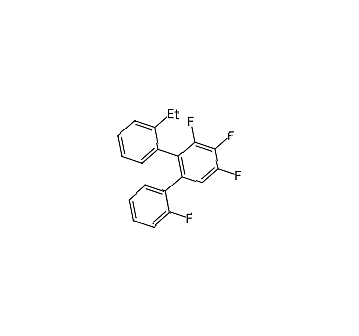 CCc1ccccc1-c1c(-c2ccccc2F)cc(F)c(F)c1F